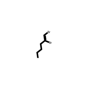 [CH2]CCCC(Br)=CBr